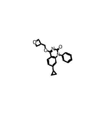 O=c1nc(OCC2COC2)c2ccc(C3CC3)cc2n1-c1ccccc1